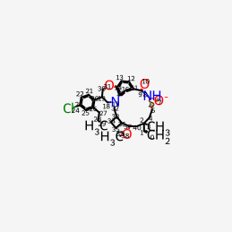 C=CC1(C)CC[S+]([O-])NC(=O)c2ccc3c(c2)N(CC(c2ccc(Cl)cc2CCC)CO3)CC2CCC2C(OC)C1